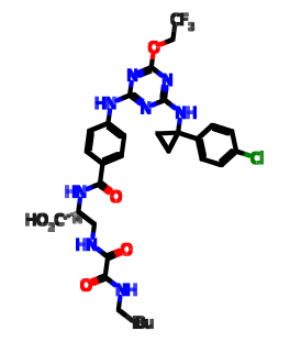 CCC(C)CNC(=O)C(=O)NC[C@@H](NC(=O)c1ccc(Nc2nc(NC3(c4ccc(Cl)cc4)CC3)nc(OCC(F)(F)F)n2)cc1)C(=O)O